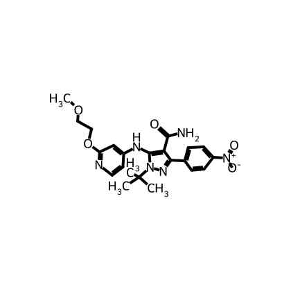 COCCOc1cc(Nc2c(C(N)=O)c(-c3ccc([N+](=O)[O-])cc3)nn2C(C)(C)C)ccn1